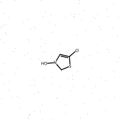 ON1[CH]SC(Cl)=C1